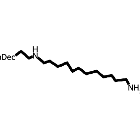 CCCCCCCCCCCCNCCCCCCCCCCCCN